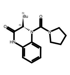 CC[C@H](C)[C@H]1C(=O)Nc2ccccc2N1C(=O)N1CCCC1